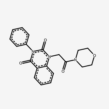 O=C(Cn1c(=O)n(-c2ccccc2)c(=O)c2ccccc21)N1CCOCC1